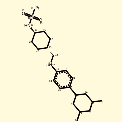 CC1CC(C)CC(c2ccc(NC[C@H]3CC[C@H](NS(=O)(=O)C(C)C)CC3)cc2)C1